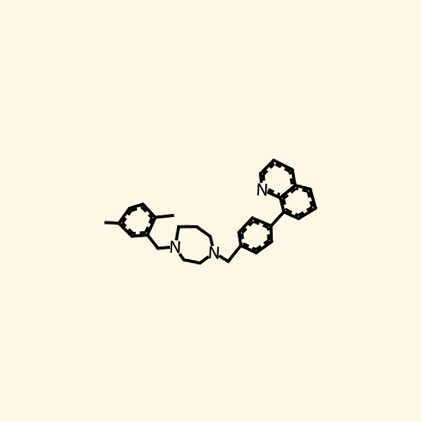 Cc1ccc(C)c(CN2CCCN(Cc3ccc(-c4cccc5cccnc45)cc3)CC2)c1